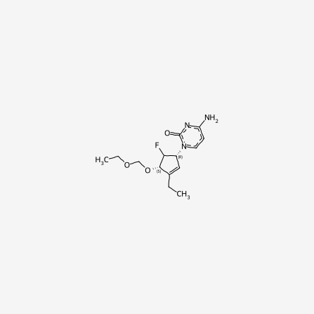 CCOCO[C@H]1C(CC)=C[C@@H](n2ccc(N)nc2=O)C1F